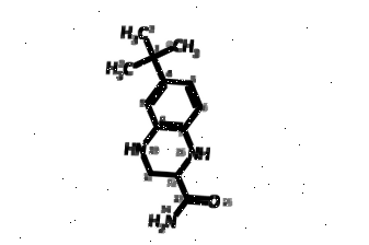 CC(C)(C)c1ccc2c(c1)NCC(C(N)=O)N2